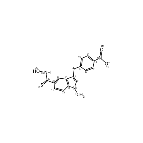 Cn1cc(Cc2ccc([N+](=O)[O-])cc2)c2cc(C(=S)NO)ccc21